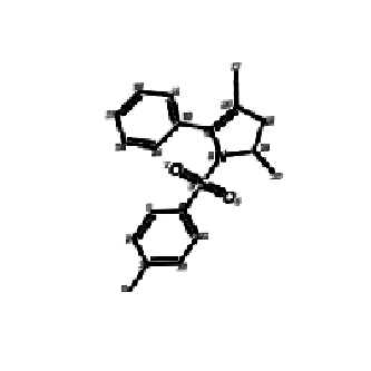 Cc1ccc(S(=O)(=O)N2C(c3ccccc3)=C(I)CC2C)cc1